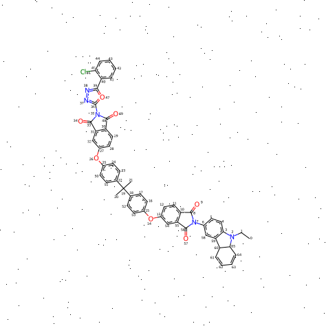 CCN1c2ccc(N3C(=O)c4ccc(Oc5ccc(C(C)(C)c6ccc(Oc7ccc8c(c7)C(=O)N(c7nnc(-c9ccccc9Cl)o7)C8=O)cc6)cc5)cc4C3=O)cc2C2C=CC=CC21